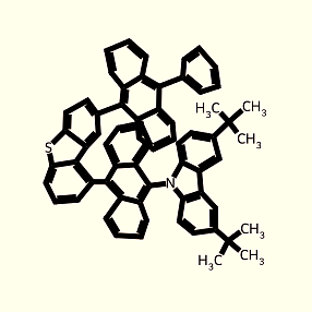 CC(C)(C)c1ccc2c(c1)c1cc(C(C)(C)C)ccc1n2-c1c2ccccc2c(-c2cccc3sc4ccc(-c5c6ccccc6c(-c6ccccc6)c6ccccc56)cc4c23)c2ccccc12